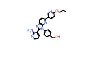 CCCOc1ccc(-c2ccc3nc(-c4cccnc4N)n(-c4ccc(CO)cc4)c3n2)cn1